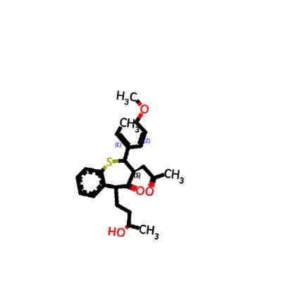 C/C=C(\C=C/COC)C1Sc2ccccc2C(CCC(C)O)C(=O)[C@@H]1CC(C)=O